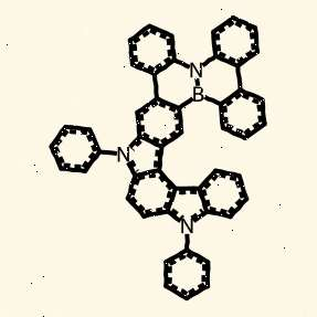 c1ccc(-n2c3ccccc3c3c4c5cc6c(cc5n(-c5ccccc5)c4ccc32)-c2ccccc2N2B6c3ccccc3-c3ccccc32)cc1